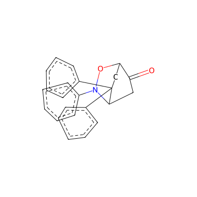 O=C1CC2N(c3ccccc3)OC1CC2(c1ccccc1)c1ccccc1